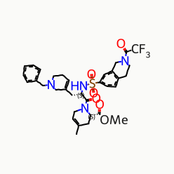 COC(=O)[C@@H]1CC(C)=CCN1C(=O)[C@H](CC1=CCCN(Cc2ccccc2)C1)NS(=O)(=O)c1ccc2c(c1)CN(C(=O)C(F)(F)F)CC2